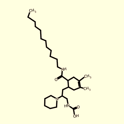 CCCCCCCCCCCCNC(=O)C1CC(C)=C(C)CC1CC(CNC(=O)O)N1CCCCC1